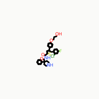 O=C(NC(=O)C1(c2ccccc2)CCNCC1)c1cc(-c2ccc(OCCCO)cc2)c(-c2ccc(F)cc2Cl)s1